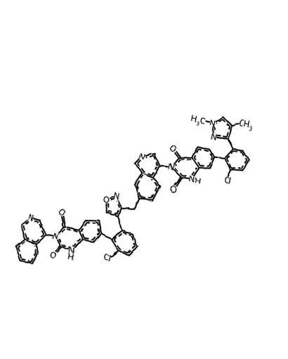 Cc1cn(C)nc1-c1cccc(Cl)c1-c1ccc2c(=O)n(-c3cncc4cc(Cc5nocc5-c5cccc(Cl)c5-c5ccc6c(=O)n(-c7cncc8ccccc78)c(=O)[nH]c6c5)ccc34)c(=O)[nH]c2c1